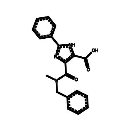 CN(Cc1ccccc1)C(=O)c1nc(-c2ccccc2)[nH]c1C(=O)O